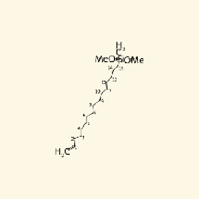 C=CCCCCCCCCCCCCCC[Si](C)(OC)OC